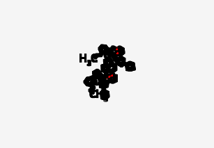 CCCc1cccc2c1oc1c(N(c3ccc(-c4ccccc4)cc3-c3ccccc3)c3ccc4ccc5c(N(c6ccc(-c7ccccc7)cc6-c6ccccc6)c6cccc7c6oc6c(CCC)cccc67)ccc6ccc3c4c65)cccc12